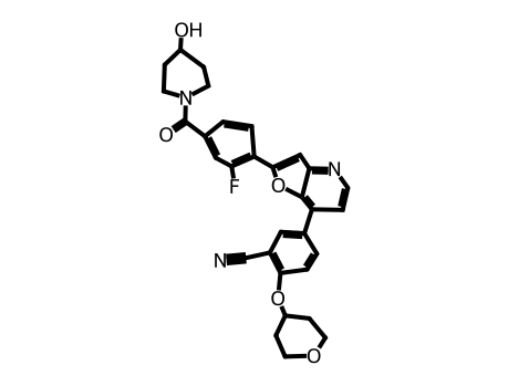 N#Cc1cc(-c2ccnc3cc(-c4ccc(C(=O)N5CCC(O)CC5)cc4F)oc23)ccc1OC1CCOCC1